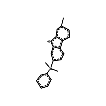 Cc1ccc2c(c1)[nH]c1cc([Si](C)(C)c3ccccc3)ccc12